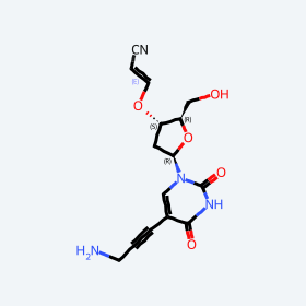 N#C/C=C/O[C@H]1C[C@H](n2cc(C#CCN)c(=O)[nH]c2=O)O[C@@H]1CO